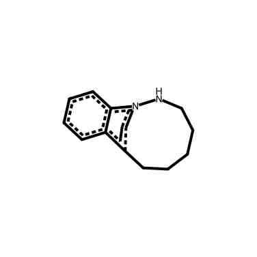 c1ccc2c(c1)c1cn2NCCCCC1